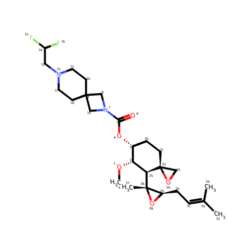 CO[C@@H]1[C@H](OC(=O)N2CC3(CCN(CC(F)F)CC3)C2)CC[C@]2(CO2)[C@H]1[C@@]1(C)O[C@@H]1CC=C(C)C